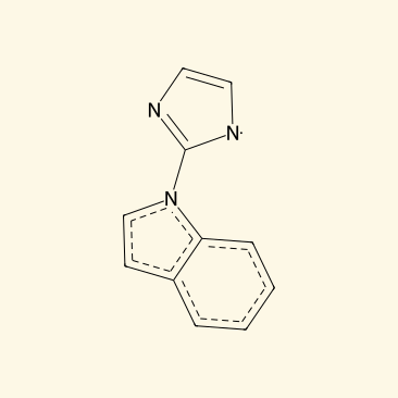 C1=CN=C(n2ccc3ccccc32)[N]1